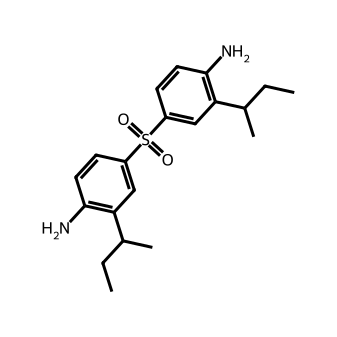 CCC(C)c1cc(S(=O)(=O)c2ccc(N)c(C(C)CC)c2)ccc1N